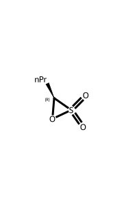 CCC[C@@H]1OS1(=O)=O